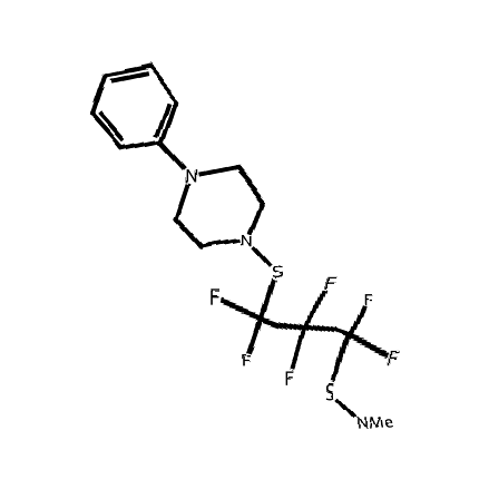 CNSC(F)(F)C(F)(F)C(F)(F)SN1CCN(c2ccccc2)CC1